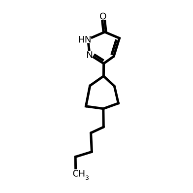 CCCCCC1CCC(c2ccc(=O)[nH]n2)CC1